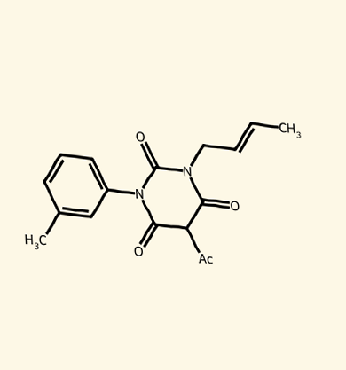 CC=CCN1C(=O)C(C(C)=O)C(=O)N(c2cccc(C)c2)C1=O